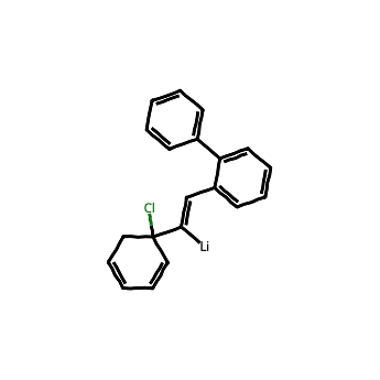 [Li][C](=Cc1ccccc1-c1ccccc1)C1(Cl)C=CC=CC1